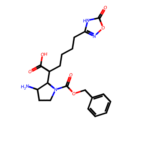 NC1CCN(C(=O)OCc2ccccc2)C1C(CCCCc1noc(=O)[nH]1)C(=O)O